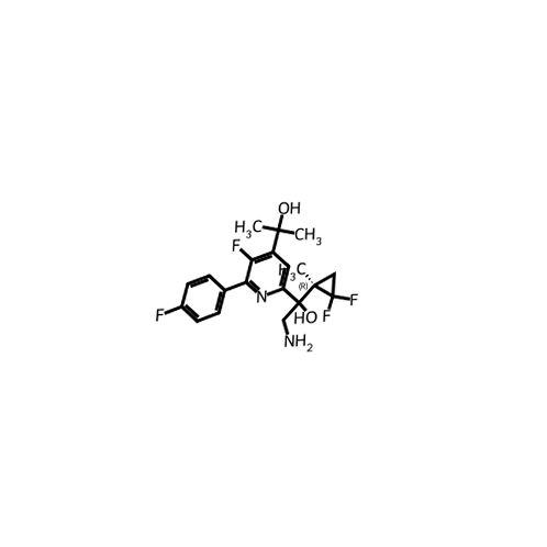 CC(C)(O)c1cc(C(O)(CN)[C@@]2(C)CC2(F)F)nc(-c2ccc(F)cc2)c1F